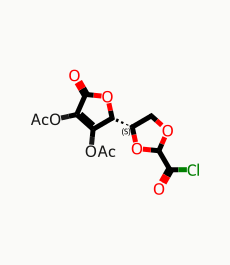 CC(=O)OC1=C(OC(C)=O)C([C@@H]2COC(C(=O)Cl)O2)OC1=O